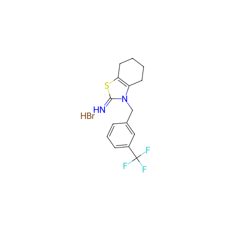 Br.N=c1sc2c(n1Cc1cccc(C(F)(F)F)c1)CCCC2